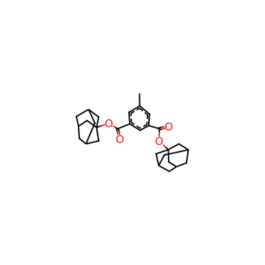 Cc1cc(C(=O)OC23CC4CC(CC(C4)C2)C3)cc(C(=O)OC23CC4CC(CC(C4)C2)C3)c1